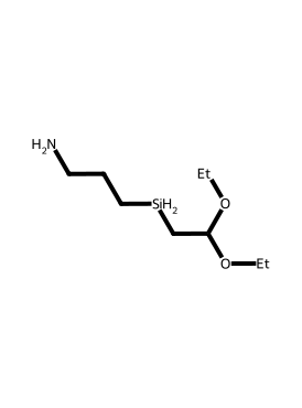 CCOC(C[SiH2]CCCN)OCC